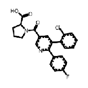 O=C(O)C1CCCN1C(=O)c1cnc(-c2ccc(F)cc2)c(-c2ccccc2Cl)c1